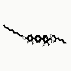 C/C=C/CCC1COC(c2ccc(-c3ccc(-c4ccc(OCCCCCCCCC)c(F)c4F)cc3)c(F)c2F)OC1